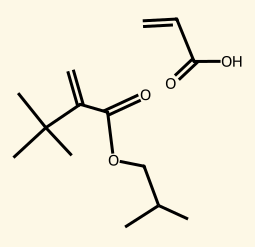 C=C(C(=O)OCC(C)C)C(C)(C)C.C=CC(=O)O